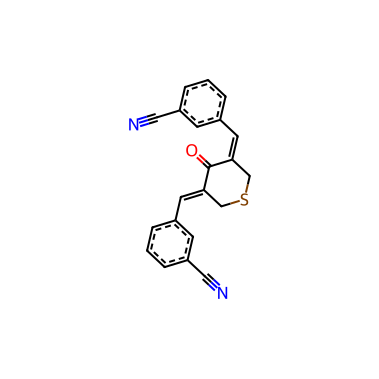 N#Cc1cccc(/C=C2\CSC/C(=C/c3cccc(C#N)c3)C2=O)c1